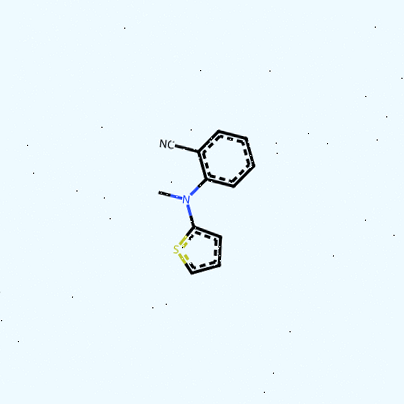 CN(c1cccs1)c1ccccc1C#N